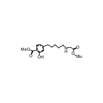 COC(=O)c1ccc(CCCCCNCC(=O)OC(C)(C)C)cc1O